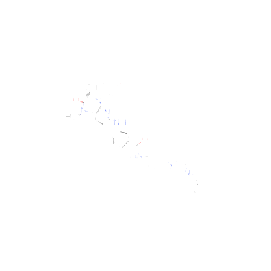 C[C@@H]1C(=O)N(C)c2ccc(Nc3cccc(C(=O)NC4CCC(N5CCN(CC6CC6)CC5)CC4)c3)nc2N1C1CCOCC1